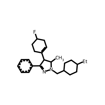 CCC1CCC(CN2N=C(c3ccccc3)C(C3=CCC(F)CC3)C2C)CC1